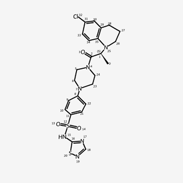 C[C@@H](C(=O)N1CCN(c2ccc(S(=O)(=O)Nc3ncns3)cc2)CC1)N1CCCc2cc(Cl)ccc21